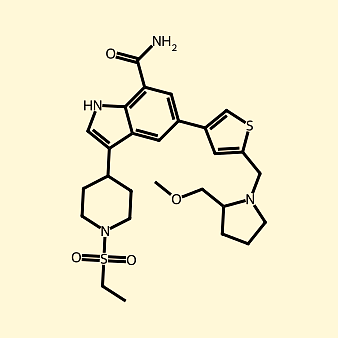 CCS(=O)(=O)N1CCC(c2c[nH]c3c(C(N)=O)cc(-c4csc(CN5CCCC5COC)c4)cc23)CC1